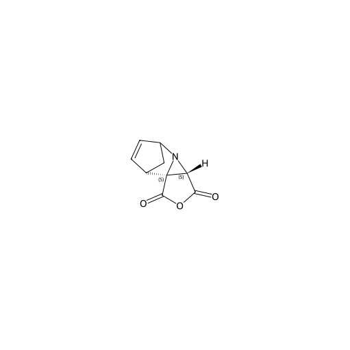 O=C1OC(=O)[C@@]23C4C=CC(C4)N2[C@H]13